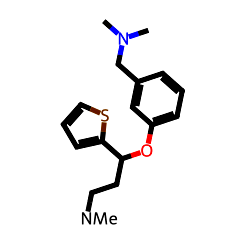 CNCCC(Oc1cccc(CN(C)C)c1)c1cccs1